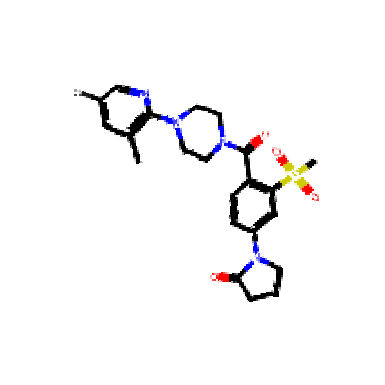 CCc1cnc(N2CCN(C(=O)c3ccc(N4CCCC4=O)cc3S(C)(=O)=O)CC2)c(C)c1